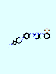 CP(C)(=O)c1ccccc1Nc1nc(Nc2ccc(N3CCC4(CC3)CC(N)C4)cc2)ncc1Cl